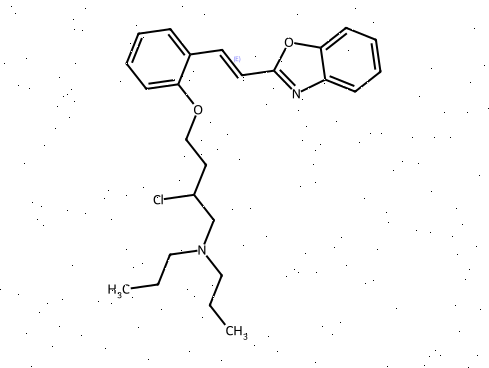 CCCN(CCC)CC(Cl)CCOc1ccccc1/C=C/c1nc2ccccc2o1